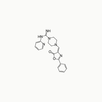 N=C(Nc1ccccn1)N1CCN(C=C2N=C(c3ccccc3)OC2=O)CC1